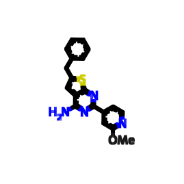 COc1cc(-c2nc(N)c3cc(Cc4ccccc4)sc3n2)ccn1